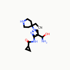 N#CCC1(n2cc(C(N)O)c(NC(=O)C3CC3)n2)CCNCC1